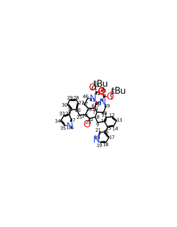 CC(C)(C)OC(=O)N1CCC(C(Cc2ccccc2-c2cccnc2)C(=O)C(Cc2ccccc2-c2cccnc2)C2CCN(C(=O)OC(C)(C)C)CC2)CC1